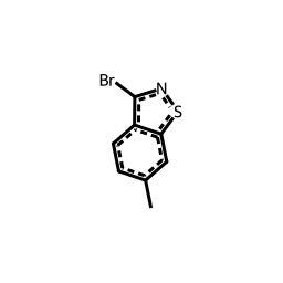 Cc1ccc2c(Br)nsc2c1